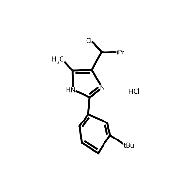 Cc1[nH]c(-c2cccc(C(C)(C)C)c2)nc1C(Cl)C(C)C.Cl